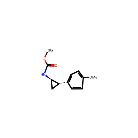 COc1ccc([C@@H]2C[C@H]2NC(=O)OC(C)(C)C)cc1